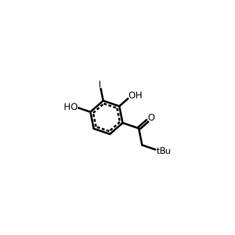 CC(C)(C)CC(=O)c1ccc(O)c(I)c1O